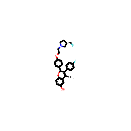 CC1=C(c2ccc(F)cc2)C(c2ccc(OCCN3CC[C@@H](CF)C3)cc2)Oc2ccc(O)cc21